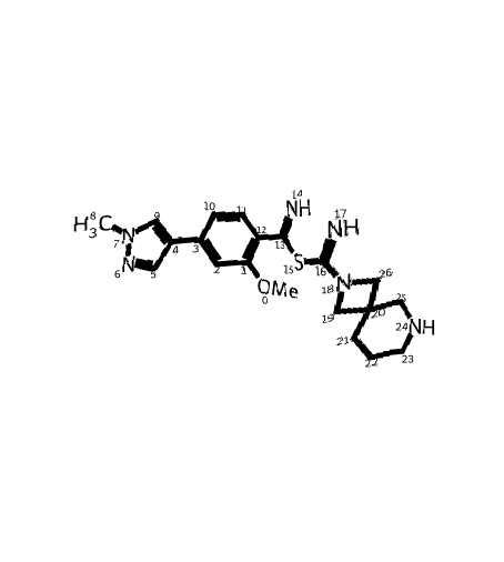 COc1cc(-c2cnn(C)c2)ccc1C(=N)SC(=N)N1CC2(CCCNC2)C1